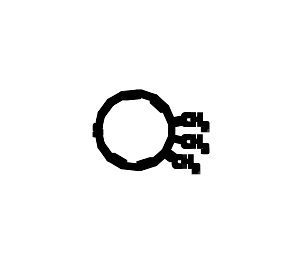 C=C1/C=C\C=C/CCSC/C=C\C=C/C(=C)C1C